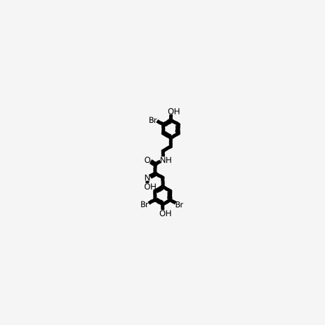 O=C(NCCc1ccc(O)c(Br)c1)/C(Cc1cc(Br)c(O)c(Br)c1)=N/O